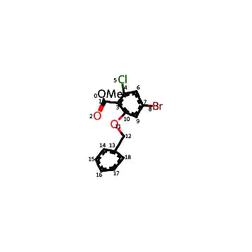 COC(=O)c1c(Cl)cc(Br)cc1OCc1ccccc1